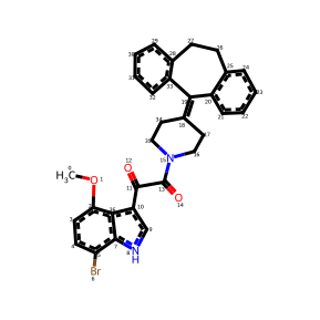 COc1ccc(Br)c2[nH]cc(C(=O)C(=O)N3CCC(=C4c5ccccc5CCc5ccccc54)CC3)c12